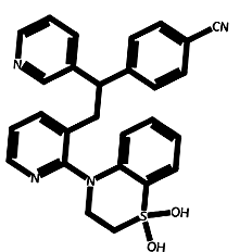 N#Cc1ccc(C(Cc2cccnc2N2CCS(O)(O)c3ccccc32)c2cccnc2)cc1